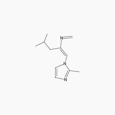 C=N/C(=C/n1ccnc1C)CC(C)C